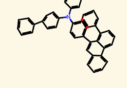 c1ccc(-c2ccc(N(c3ccccc3)c3ccc(-c4cc5ccccc5c5cccc(-c6ccccc6)c45)cc3)cc2)cc1